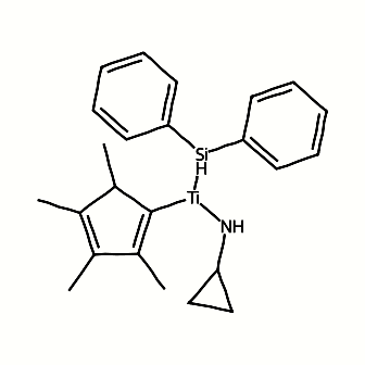 CC1=C(C)C(C)[C]([Ti]([NH]C2CC2)[SiH](c2ccccc2)c2ccccc2)=C1C